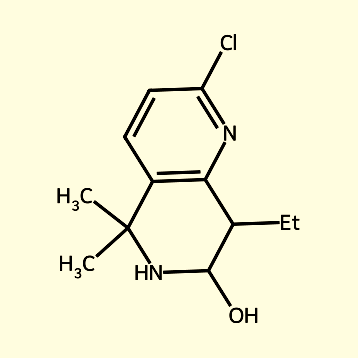 CCC1c2nc(Cl)ccc2C(C)(C)NC1O